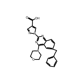 O=C(O)c1cnn(-c2nc(N3CCOCC3)c3cc(Cc4ccccc4)ccc3n2)c1